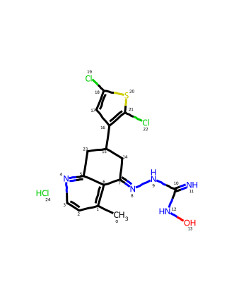 Cc1ccnc2c1C(=NNC(=N)NO)CC(c1cc(Cl)sc1Cl)C2.Cl